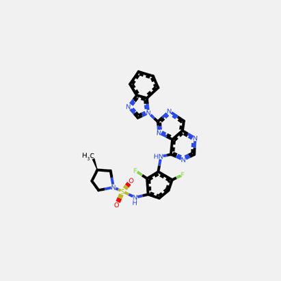 C[C@@H]1CCN(S(=O)(=O)Nc2ccc(F)c(Nc3ncnc4cnc(-n5cnc6ccccc65)nc34)c2F)C1